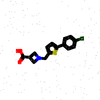 O=C(O)C1CN(Cc2ccc(-c3ccc(Cl)cc3)s2)C1